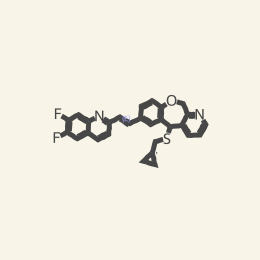 Fc1cc2ccc(/C=C/c3ccc4c(c3)C(SC[C]3CC3)c3cccnc3CO4)nc2cc1F